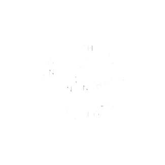 Cc1cc(C(=O)O)cc(C(=O)O)c1.O=C(O)c1ccn(-c2ccc([N+](=O)[O-])cn2)c1-c1ccccc1